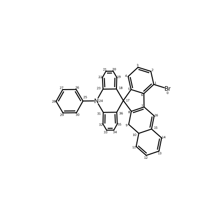 Brc1cccc2c1C1=C(CC3C=CC=CC3=C1)C21c2ccccc2N(c2ccccc2)c2ccccc21